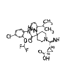 CC(C)c1ccnn1C1(C(=O)Nc2ccc(Cl)cc2OC(F)F)CCN(C(=N)[C@@H]2C[C@@H]2C(=O)O)CC1